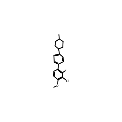 COc1ccc(-c2ccc(C3CCC(C)CC3)cc2)c(F)c1Cl